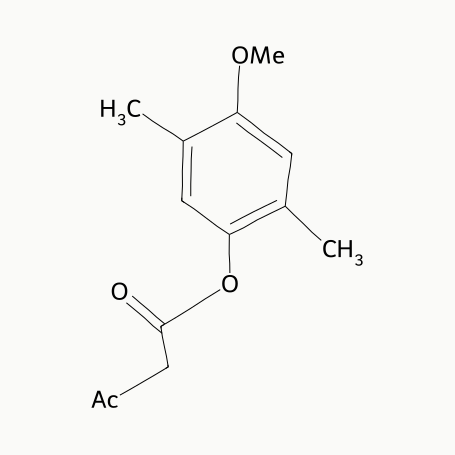 COc1cc(C)c(OC(=O)CC(C)=O)cc1C